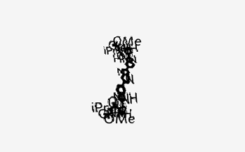 COC(=O)N[C@H](C(=O)N1[C@@H]2C[C@@H]2C[C@H]1c1nc2ccc(-c3cnc4cc(-c5ccc6nc([C@@H]7C[C@H]8C[C@H]8N7C(=O)[C@@H](NC(=O)OC)C(C)C)[nH]c6c5)cnc4c3)cc2[nH]1)C(C)C